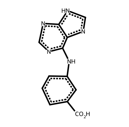 O=C(O)c1cccc(Nc2ncnc3[nH]cnc23)c1